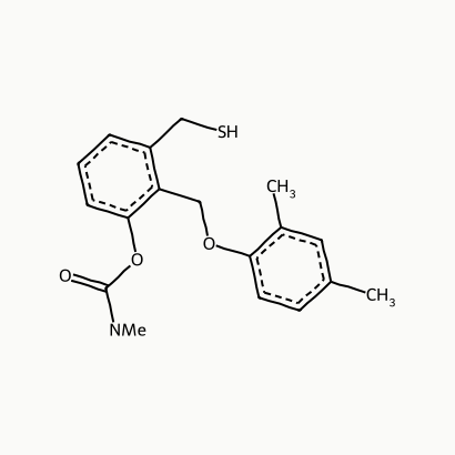 CNC(=O)Oc1cccc(CS)c1COc1ccc(C)cc1C